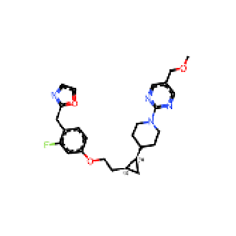 COCc1cnc(N2CCC([C@H]3C[C@H]3CCOc3ccc(Cc4ncco4)c(F)c3)CC2)nc1